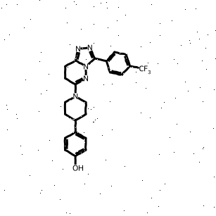 Oc1ccc(C2CCN(C3=Nn4c(nnc4-c4ccc(C(F)(F)F)cc4)CC3)CC2)cc1